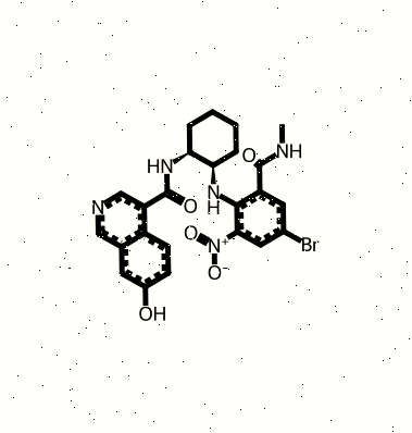 CNC(=O)c1cc(Br)cc([N+](=O)[O-])c1N[C@@H]1CCCC[C@@H]1NC(=O)c1cncc2cc(O)ccc12